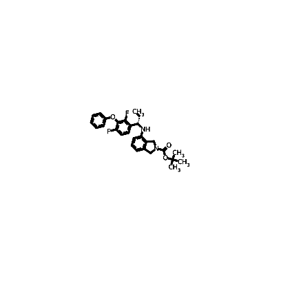 CC[C@H](Nc1cccc2c1CN(C(=O)OC(C)(C)C)C2)c1ccc(F)c(Oc2ccccc2)c1F